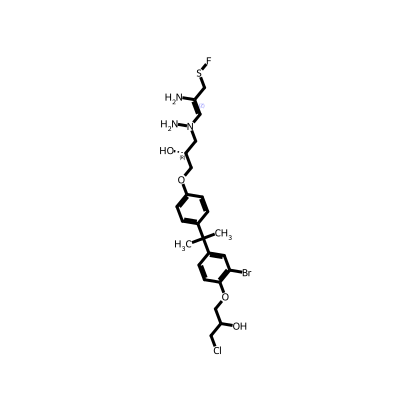 CC(C)(c1ccc(OC[C@H](O)CN(N)/C=C(\N)CSF)cc1)c1ccc(OCC(O)CCl)c(Br)c1